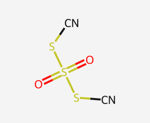 N#CSS(=O)(=O)SC#N